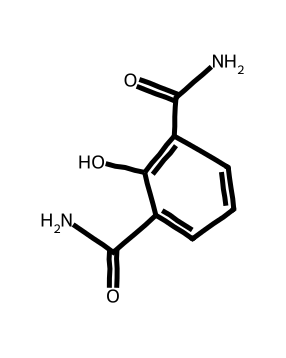 NC(=O)c1cccc(C(N)=O)c1O